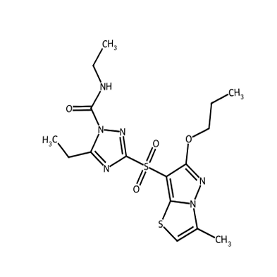 CCCOc1nn2c(C)csc2c1S(=O)(=O)c1nc(CC)n(C(=O)NCC)n1